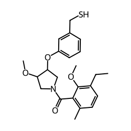 CCc1ccc(C)c(C(=O)N2CC(OC)C(Oc3cccc(CS)c3)C2)c1OC